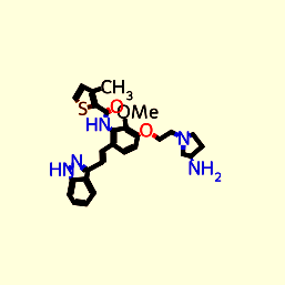 COc1c(OCCN2CC[C@@H](N)C2)ccc(/C=C/c2n[nH]c3ccccc23)c1NC(=O)c1sccc1C